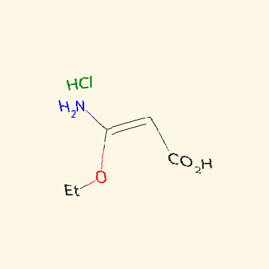 CCO/C(N)=C\C(=O)O.Cl